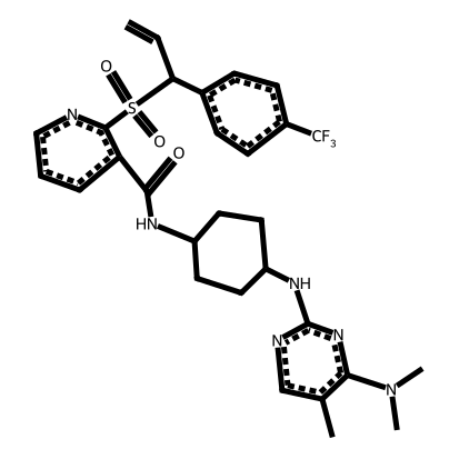 C=CC(c1ccc(C(F)(F)F)cc1)S(=O)(=O)c1ncccc1C(=O)NC1CCC(Nc2ncc(C)c(N(C)C)n2)CC1